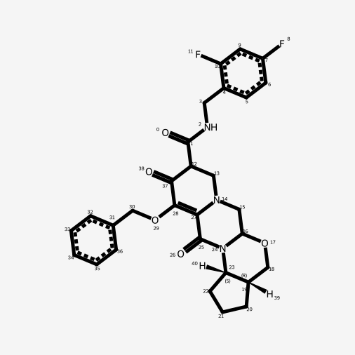 O=C(NCc1ccc(F)cc1F)C1CN2CC3OC[C@@H]4CCC[C@@H]4N3C(=O)C2=C(OCc2ccccc2)C1=O